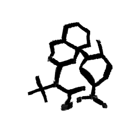 CC(C)(C)N(C(=O)O)C1=NC2(c3cc([N+](=O)[O-])ccc3F)CCCCC2CS1